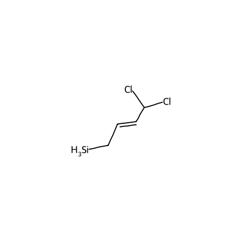 [SiH3]CC=CC(Cl)Cl